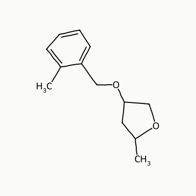 Cc1ccccc1COC1COC(C)C1